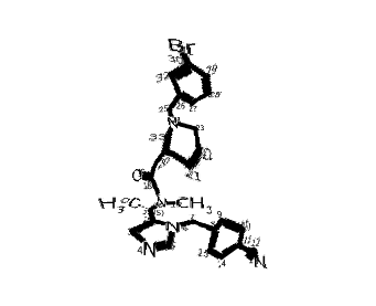 C[C@@H](c1cncn1Cc1ccc(C#N)cc1)N(C)C(=O)C1CCCN(Cc2cccc(Br)c2)C1